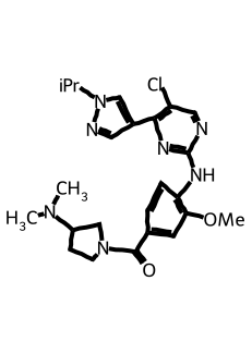 COc1cc(C(=O)N2CCC(N(C)C)C2)ccc1Nc1ncc(Cl)c(-c2cnn(C(C)C)c2)n1